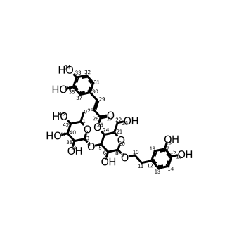 CC1OC(OC2C(O)C(OCCc3ccc(O)c(O)c3)OC(CO)C2OC(=O)C=Cc2ccc(O)c(O)c2)C(O)C(O)C1O